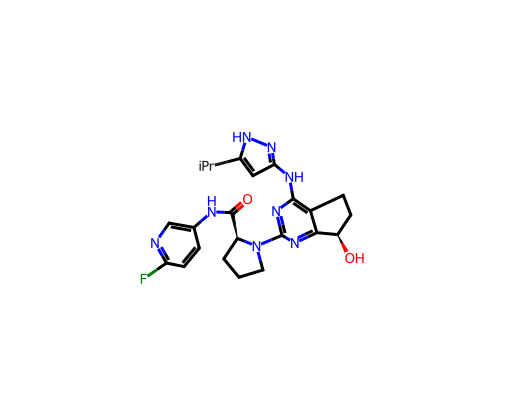 CC(C)c1cc(Nc2nc(N3CCC[C@H]3C(=O)Nc3ccc(F)nc3)nc3c2CC[C@H]3O)n[nH]1